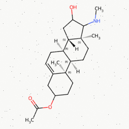 CNC1C(O)C[C@H]2[C@@H]3CC=C4CC(OC(C)=O)CC[C@]4(C)[C@@H]3CC[C@]12C